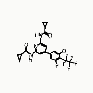 O=C(Nc1cc(-c2cc(F)c(C(F)(F)C(F)(F)F)c(Cl)c2)cc(NC(=O)C2CC2)n1)C1CC1